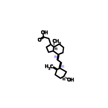 C=C1CC[C@@H](O)C/C1=C/C=C1\CCC[C@]2(C)C(CC(=O)O)CCC12